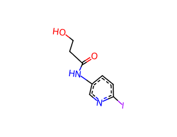 O=C(CCO)Nc1ccc(I)nc1